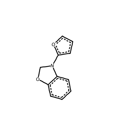 c1coc(N2COc3ccccc32)c1